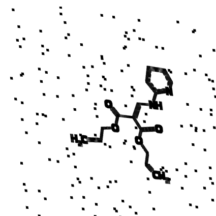 C=CCOC(=O)C(=CNc1ccccn1)C(=O)OCC=C